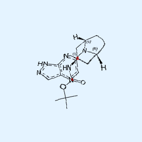 CC(C)(C)OC(=O)N[C@@H]1C[C@H]2CC[C@@H](C1)N2c1cnc2cn[nH]c2n1